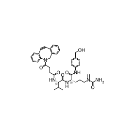 CC(C)[C@H](NC(=O)CCC(=O)N1Cc2ccccc2C#Cc2ccccc21)C(=O)N[C@@H](CCCNC(N)=O)C(=O)Nc1ccc(CO)cc1